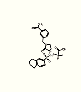 N=C(N)c1cccc(CN2CC[C@H](NS(=O)(=O)c3ccc4c(c3)CCCC4)C2=O)c1.O=C(O)C(F)(F)F